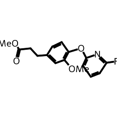 COC(=O)CCc1ccc(Oc2cccc(F)n2)c(OC)c1